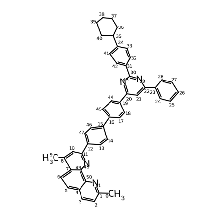 Cc1ccc2ccc3c(C)cc(-c4ccc(-c5ccc(-c6cc(-c7ccccc7)nc(-c7ccc(C8CCCCC8)cc7)n6)cc5)cc4)nc3c2n1